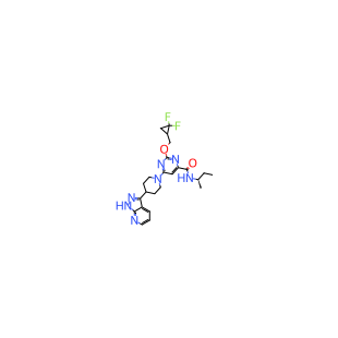 CC[C@@H](C)NC(=O)c1cc(N2CCC(c3n[nH]c4ncccc34)CC2)nc(OCC2CC2(F)F)n1